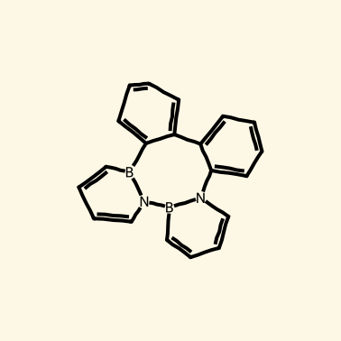 C1=CB2c3ccccc3-c3ccccc3N3C=CC=CB3N2C=C1